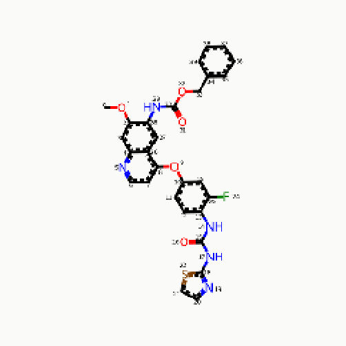 COc1cc2nccc(Oc3ccc(NC(=O)Nc4nccs4)c(F)c3)c2cc1NC(=O)OCc1ccccc1